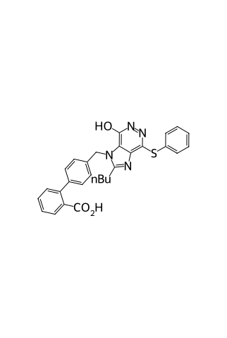 CCCCc1nc2c(Sc3ccccc3)nnc(O)c2n1Cc1ccc(-c2ccccc2C(=O)O)cc1